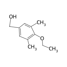 CCOc1c(C)cc(CO)cc1C